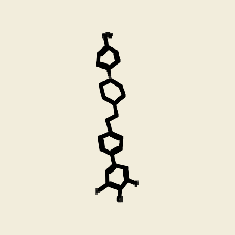 CCCc1ccc([C@H]2CC[C@H](CCc3ccc(-c4cc(F)c(Cl)c(F)c4)cc3)CC2)cc1